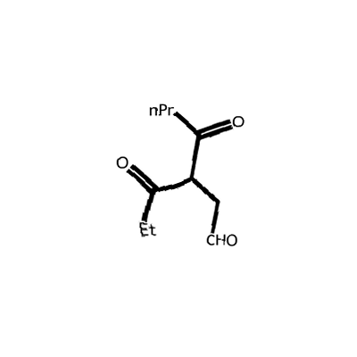 CCCC(=O)C(CC=O)C(=O)CC